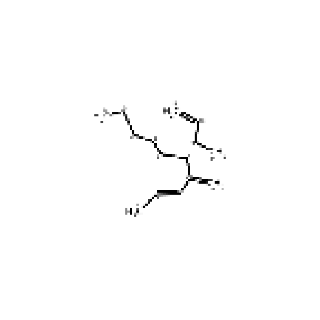 C=C(C=CC)CCCCCC.C=CCC